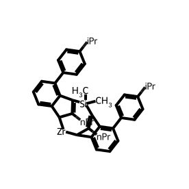 CCCC1=C2c3c(-c4ccc(C(C)C)cc4)cccc3[CH]1[Zr][CH]1C(CCC)=C(c3c(-c4ccc(C(C)C)cc4)cccc31)[Si]2(C)C